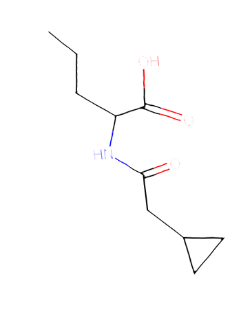 CCCC(NC(=O)CC1CC1)C(=O)O